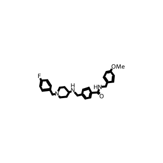 COc1ccc(CNC(=O)c2ccc(CNC3CCN(Cc4ccc(F)cc4)CC3)cc2)cc1